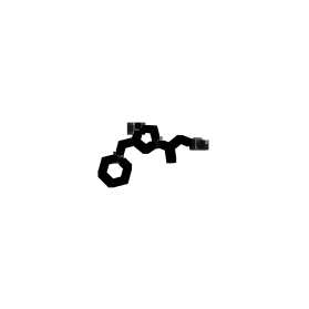 C=C(CC(C)(C)C)N1CNC(CN2CCCCC2)C1